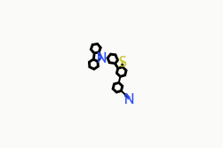 N#Cc1cccc(-c2ccc3sc4ccc(-n5c6ccccc6c6ccccc65)cc4c3c2)c1